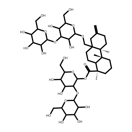 C=C1CC[C@@H]2C(COC3OC(CO)C(O)C(OC4OC(CO)C(O)C(O)C4O)C3O)(CCC3[C@](C)(C(=O)OC4OC(CO)C(O)C(O)C4OC4OC(CO)C(O)C(O)C4O)CCC[C@]32C)C1